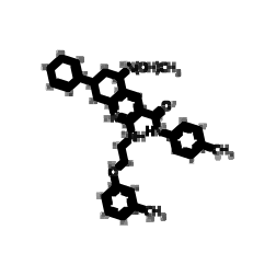 Cc1ccc(NC(=O)c2cc3c(nc2NCCOc2cccc(C)c2)CC(C2=CCCC=C2)CC3N(C)O)cc1